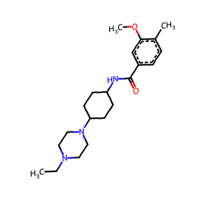 CCN1CCN(C2CCC(NC(=O)c3ccc(C)c(OC)c3)CC2)CC1